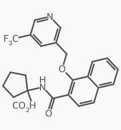 O=C(NC1(C(=O)O)CCCC1)c1ccc2ccccc2c1OCc1cncc(C(F)(F)F)c1